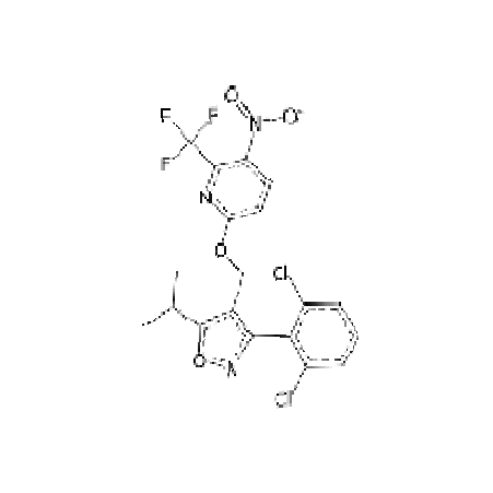 CC(C)c1onc(-c2c(Cl)cccc2Cl)c1COc1ccc([N+](=O)[O-])c(C(F)(F)F)n1